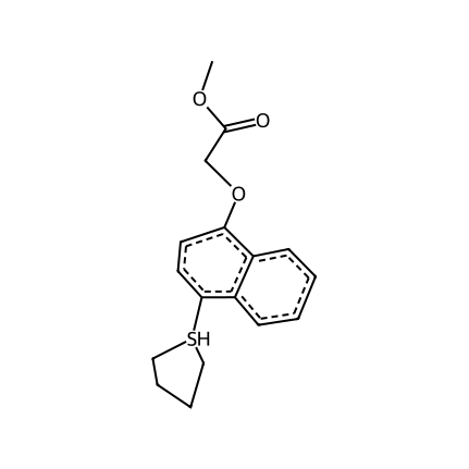 COC(=O)COc1ccc([SH]2CCCC2)c2ccccc12